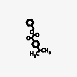 CC(C)c1ccc(C(=O)C(=O)OCc2ccccc2)cc1